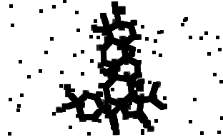 CC(C)C1=C2[C@H]3CCC4[C@@](C)(CCC5C(C)(C)[C@@H](O)CC[C@@]54C)C3CC[C@@]2(C(=O)N2CCC(F)(F)CC2)CC1=O